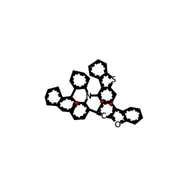 c1ccc(N(c2ccccc2-c2cccc3ccccc23)c2cccc3sc4ccccc4c23)c(-c2ccc3c(c2)oc2ccccc23)c1